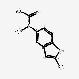 CC(=O)N(N)c1ccc2[nH]c(C)cc2c1